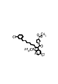 COC(=O)[C@H]1CCN(C(=O)c2c(CCCCCCc3cccc(Cl)c3)n(C)c3ncc(Cl)cc23)C1